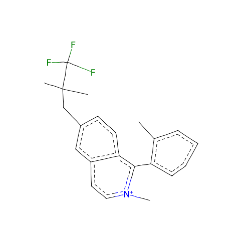 Cc1ccccc1-c1c2ccc(CC(C)(C)C(F)(F)F)cc2cc[n+]1C